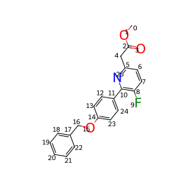 COC(=O)Cc1ccc(F)c(-c2ccc(OCc3ccccc3)cc2)n1